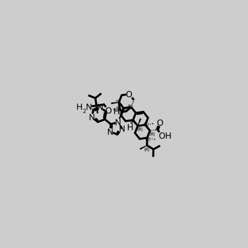 CC(C)[C@@H](C)[C@@]1(C)CC[C@]2(C)[C@H]3CC[C@@H]4[C@@]5(COC[C@@]4(C)[C@@H](OC[C@](C)(N)C(C)C)[C@H](n4ncnc4-c4cncnc4)C5)C3=CC[C@@]2(C)[C@@H]1C(=O)O